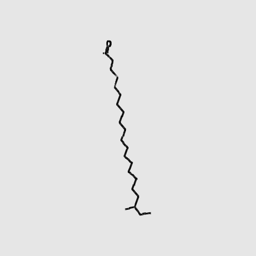 CCC(C)CCCCCCCCCCCCCCCCC[C]=O